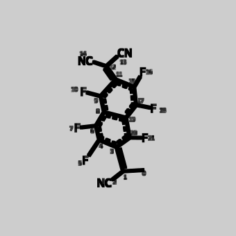 C/C(C#N)=c1/c(F)c(F)c2c(F)c(=C(C#N)C#N)c(F)c(F)c2c1F